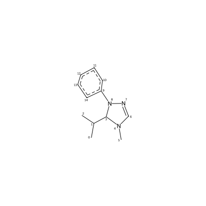 CC(C)C1N(C)C=NN1c1ccccc1